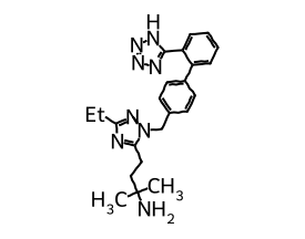 CCc1nc(CCC(C)(C)N)n(Cc2ccc(-c3ccccc3-c3nnn[nH]3)cc2)n1